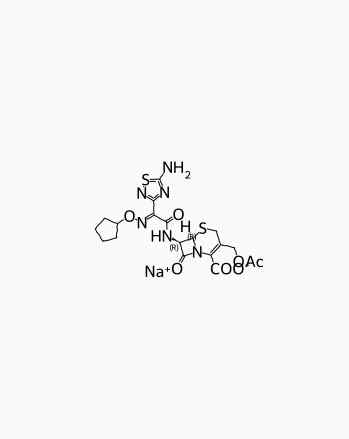 CC(=O)OCC1=C(C(=O)[O-])N2C(=O)[C@@H](NC(=O)C(=NOC3CCCC3)c3nsc(N)n3)[C@H]2SC1.[Na+]